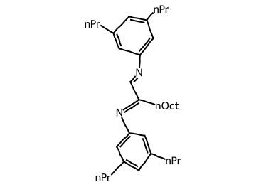 CCCCCCCCC(/C=N/c1cc(CCC)cc(CCC)c1)=N\c1cc(CCC)cc(CCC)c1